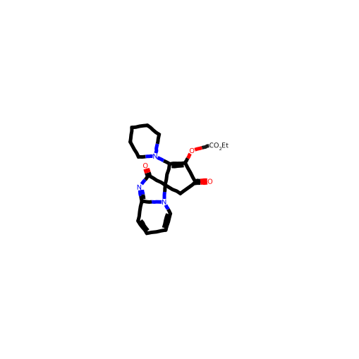 CCOC(=O)OC1=C(N2CCCCC2)C2(CC1=O)C(=O)N=C1C=CC=CN12